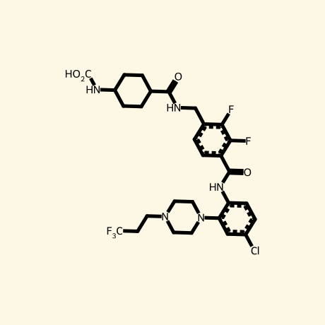 O=C(O)NC1CCC(C(=O)NCc2ccc(C(=O)Nc3ccc(Cl)cc3N3CCN(CCC(F)(F)F)CC3)c(F)c2F)CC1